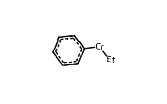 C[CH2][Cr][c]1ccccc1